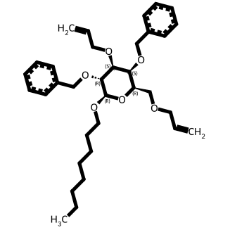 C=CCOC[C@H]1O[C@@H](OCCCCCCCC)[C@H](OCc2ccccc2)[C@@H](OCC=C)[C@H]1OCc1ccccc1